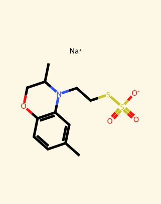 Cc1ccc2c(c1)N(CCSS(=O)(=O)[O-])C(C)CO2.[Na+]